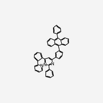 c1ccc(-c2nc(-c3cccc(-c4c5ccccc5c(-c5ccccc5)c5ccccc45)c3)cc(-c3ccccc3-c3ccccn3)n2)cc1